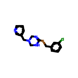 Clc1cccc(CSC2=NCN(Cc3cccnc3)CN2)c1